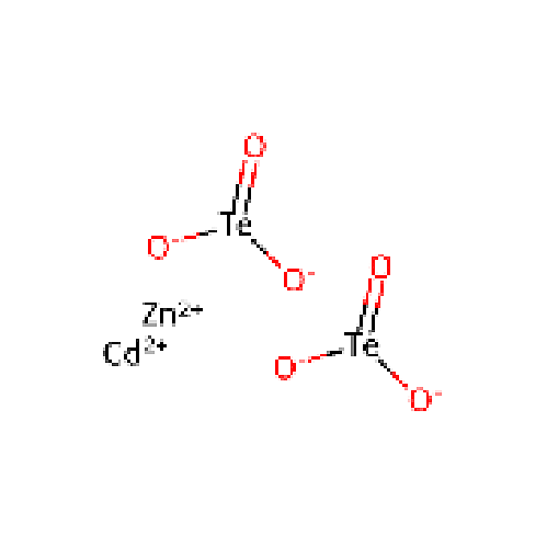 O=[Te]([O-])[O-].O=[Te]([O-])[O-].[Cd+2].[Zn+2]